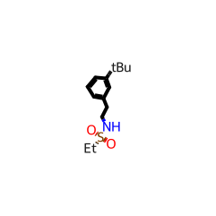 CCS(=O)(=O)NCCc1cccc(C(C)(C)C)c1